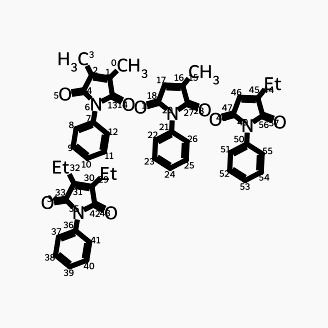 CC1=C(C)C(=O)N(c2ccccc2)C1=O.CC1=CC(=O)N(c2ccccc2)C1=O.CCC1=C(CC)C(=O)N(c2ccccc2)C1=O.CCC1=CC(=O)N(c2ccccc2)C1=O